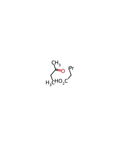 CC(C)CC(=O)O.CCC(C)=O